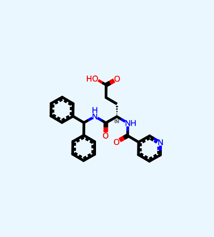 O=C(O)CC[C@H](NC(=O)c1cccnc1)C(=O)NC(c1ccccc1)c1ccccc1